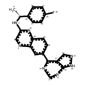 C[C@@H](Nc1cnc2cc(-c3ncnc4[nH]ncc34)ccc2n1)c1ccc(F)cc1